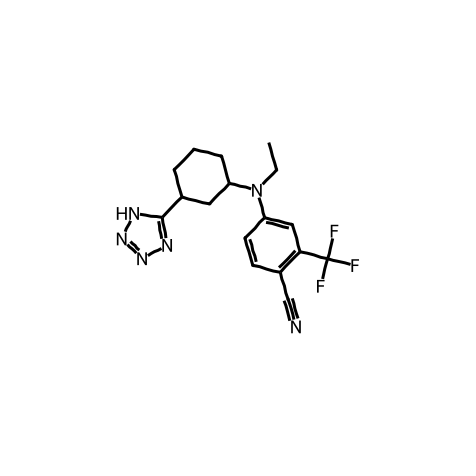 CCN(c1ccc(C#N)c(C(F)(F)F)c1)C1CCCC(c2nnn[nH]2)C1